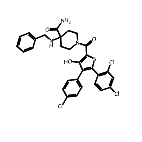 NC(=O)C1(NCc2ccccc2)CCN(C(=O)c2sc(-c3ccc(Cl)cc3Cl)c(-c3ccc(Cl)cc3)c2O)CC1